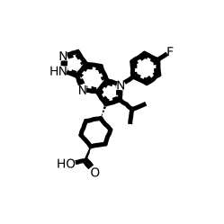 CC(C)c1c([C@H]2CC[C@H](C(=O)O)CC2)c2nc3[nH]ncc3cc2n1-c1ccc(F)cc1